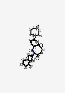 CN1CCCN(c2ccc3c(n2)OCCC(=O)/C(c2cn4cccc(F)c4n2)=C\3)CC1